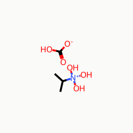 CC(C)[N+](O)(O)O.O=C([O-])O